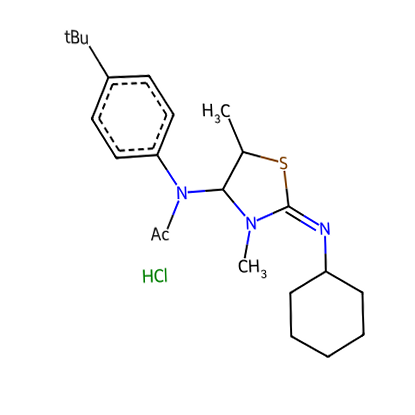 CC(=O)N(c1ccc(C(C)(C)C)cc1)C1C(C)SC(=NC2CCCCC2)N1C.Cl